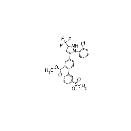 COC(=O)c1cc(C2=CC(C(F)(F)F)NN2c2ccccc2Cl)ccc1-c1cccc(S(C)(=O)=O)c1